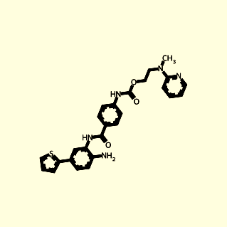 CN(CCOC(=O)Nc1ccc(C(=O)Nc2cc(-c3cccs3)ccc2N)cc1)c1ccccn1